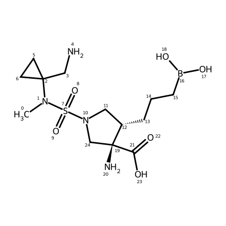 CN(C1(CN)CC1)S(=O)(=O)N1C[C@H](CCCB(O)O)[C@](N)(C(=O)O)C1